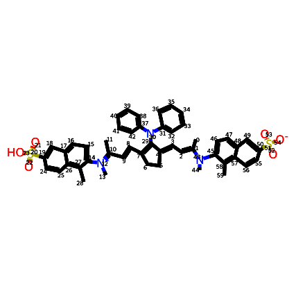 C/C(=C\C=C1/CCC(/C=C/C(C)=[N+](\C)c2ccc3cc(S(=O)(=O)O)ccc3c2C)=C1N(c1ccccc1)c1ccccc1)N(C)c1ccc2cc(S(=O)(=O)[O-])ccc2c1C